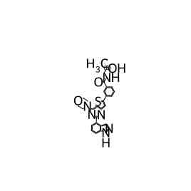 C[C@H](O)CNC(=O)c1cccc(-c2cc3nc(-c4cccc5[nH]ncc45)nc(N4CCOCC4)c3s2)c1